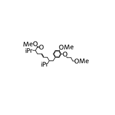 COCCCOc1cc(CC(CC=CCC(C(=O)OC)C(C)C)C(C)C)ccc1OC